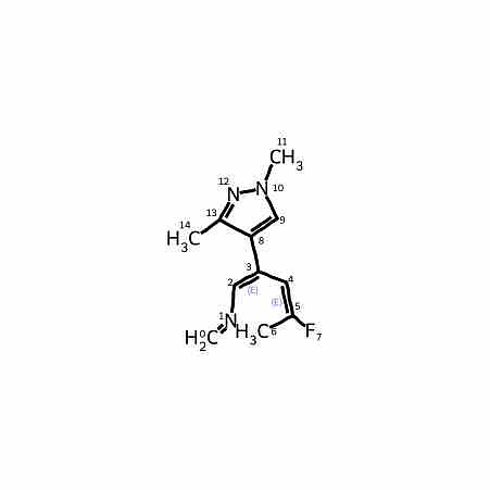 C=N/C=C(\C=C(/C)F)c1cn(C)nc1C